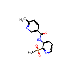 Cc1ccc(C(=O)Nc2cccnc2S(C)(=O)=O)cn1